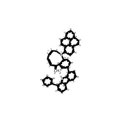 C=C1/C=C\C=C/CN(c2ccc3ccc4cccc5ccc2c3c45)c2ccc(-c3cccc4c3sc3c(-c5ccccc5)cccc34)cc21